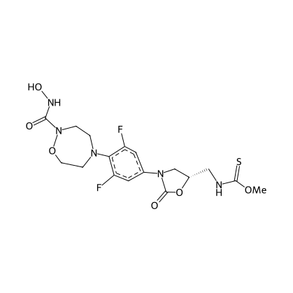 COC(=S)NC[C@H]1CN(c2cc(F)c(N3CCON(C(=O)NO)CC3)c(F)c2)C(=O)O1